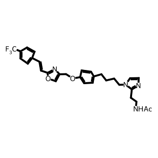 CC(=O)NCCc1nccn1CCCCc1ccc(OCc2coc(C=Cc3ccc(C(F)(F)F)cc3)n2)cc1